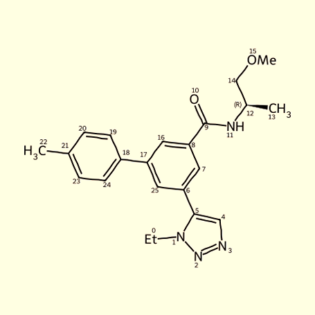 CCn1nncc1-c1cc(C(=O)N[C@H](C)COC)cc(-c2ccc(C)cc2)c1